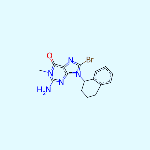 Cn1c(N)nc2c(nc(Br)n2C2CCCc3ccccc32)c1=O